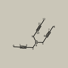 CC#CCB(CC#CC)CC#CC